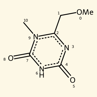 COCc1nc(=O)[nH]c(=O)n1C